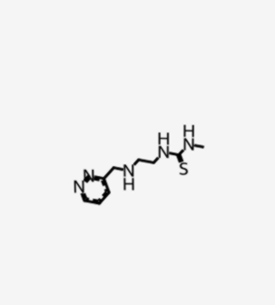 CNC(=S)NCCNCc1cccnn1